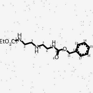 CCOC(=O)NCCNCCNC(=O)OCc1ccccc1